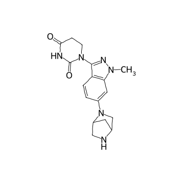 Cn1nc(N2CCC(=O)NC2=O)c2ccc(N3CC4CC3CN4)cc21